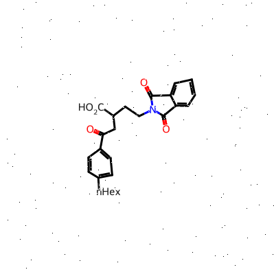 CCCCCCc1ccc(C(=O)CC(CCN2C(=O)c3ccccc3C2=O)C(=O)O)cc1